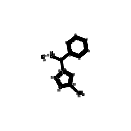 CC(c1ccccc1)[n+]1cc(N)on1.[Cl-]